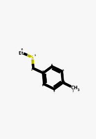 [CH2]CSCc1ccc(C)cc1